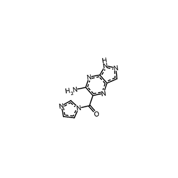 Nc1nc2[nH]ncc2nc1C(=O)n1ccnc1